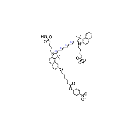 CC1(C)C(/C=C/C=C/C=C/C=C2/N(CCCCS(=O)(=O)O)c3ccc4ccc(OCCCCCC(=O)Oc5ccc([N+](=O)[O-])cc5)cc4c3C2(C)C)=[N+](CCCCS(=O)(=O)O)c2ccc3ccccc3c21